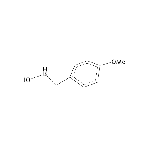 COc1ccc(CBO)cc1